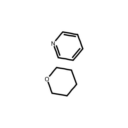 C1CCOCC1.c1ccncc1